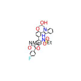 CCS(=O)(=O)Nc1cc2oc(-c3ccc(F)cc3)c(C(=O)NC)c2cc1-c1ccc2c(c1)-c1cc3ccccc3n1CC(O)CO2